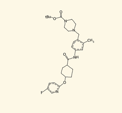 Cc1cc(NC(=O)C2CCC(Oc3ccc(F)cn3)CC2)ccc1CN1CCN(C(=O)OC(C)(C)C)CC1